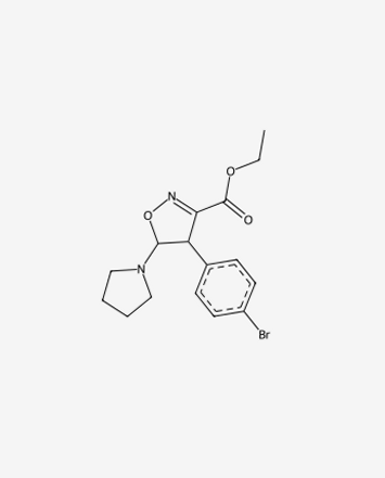 CCOC(=O)C1=NOC(N2CCCC2)C1c1ccc(Br)cc1